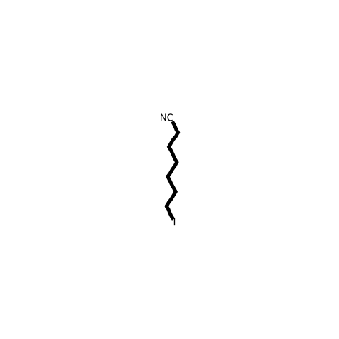 N#CCCCCCCI